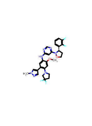 COc1cc(N2CCC(F)(F)C2)c(-c2cnn(C)c2)cc1Nc1cc(N2OCC[C@@H]2c2cccc(F)c2F)ncn1